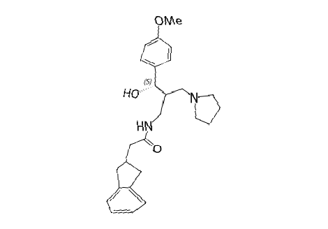 COc1ccc([C@@H](O)C(CNC(=O)CC2Cc3ccccc3C2)CN2CCCC2)cc1